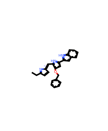 CCC1=N/C(=C/c2[nH]c(-c3cc4ccccc4[nH]3)cc2OCc2ccccc2)C=C1